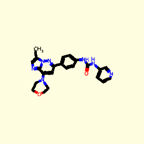 Cc1cnc2c(N3CCOCC3)cc(-c3ccc(NC(=O)Nc4cccnc4)cc3)nn12